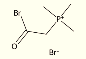 C[P+](C)(C)CC(=O)Br.[Br-]